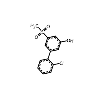 CS(=O)(=O)c1cc(O)cc(-c2ccccc2Cl)c1